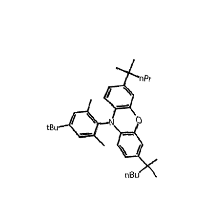 CCCCC(C)(C)c1ccc2c(c1)Oc1cc(C(C)(C)CCC)ccc1N2c1c(C)cc(C(C)(C)C)cc1C